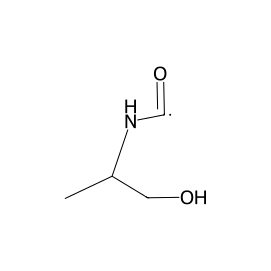 CC(CO)N[C]=O